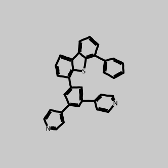 c1ccc(-c2cccc3c2sc2c(-c4cc(-c5ccncc5)cc(-c5ccncc5)c4)cccc23)cc1